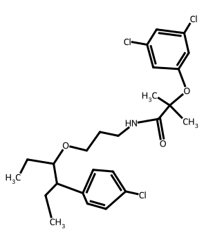 CCC(OCCCNC(=O)C(C)(C)Oc1cc(Cl)cc(Cl)c1)C(CC)c1ccc(Cl)cc1